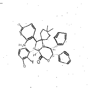 CC1(C)CCC2(CC1)C(c1ccc(Cl)nc1N)[C@@H](c1cccc(Cl)c1F)[C@@H]1C(=O)O[C@@H](c3ccccc3)[C@@H](c3ccccc3)N12